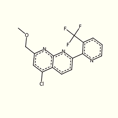 COCc1cc(Cl)c2ccc(-c3ncccc3C(F)(F)F)nc2n1